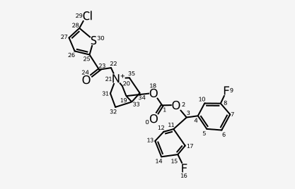 O=C(OC(c1cccc(F)c1)c1cccc(F)c1)OC1C[N+]2(CC(=O)c3ccc(Cl)s3)CCC1CC2